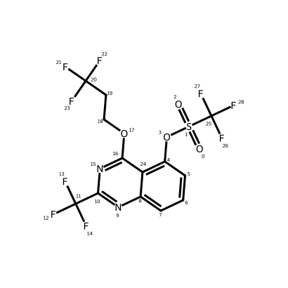 O=S(=O)(Oc1cccc2nc(C(F)(F)F)nc(OCCC(F)(F)F)c12)C(F)(F)F